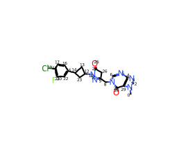 Cn1cnc2ncn(CC3=NN(C4CC(c5ccc(Cl)c(F)c5)C4)C(=O)C3)c(=O)c21